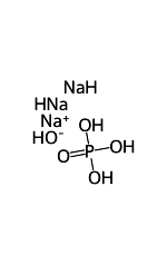 O=P(O)(O)O.[Na+].[NaH].[NaH].[OH-]